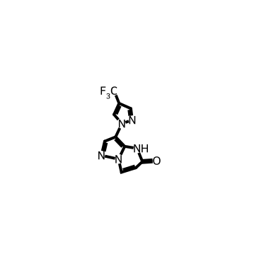 O=c1ccn2ncc(-n3cc(C(F)(F)F)cn3)c2[nH]1